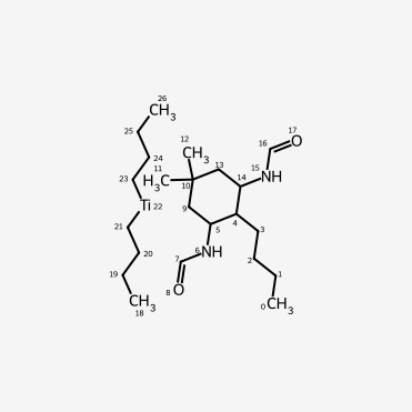 CCCCC1C(NC=O)CC(C)(C)CC1NC=O.CCC[CH2][Ti][CH2]CCC